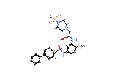 COc1ccc(NC(=O)c2ccc(-c3ccccc3)cc2)cc1NC(=O)CN1CCN(S(C)(=O)=O)CC1